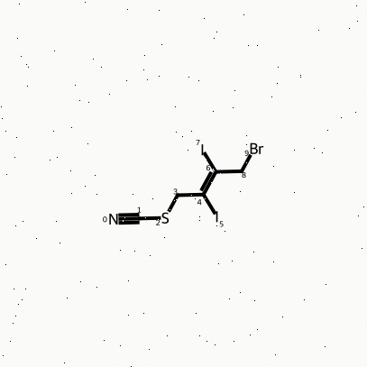 N#CSCC(I)=C(I)CBr